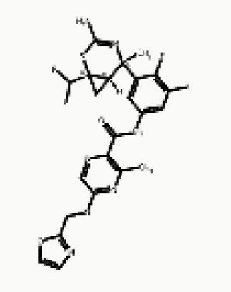 Cc1nc(OCc2ncco2)cnc1C(=O)Nc1cc(F)c(F)c([C@@]2(C)N=C(N)S[C@@]3(C(F)F)C[C@@H]23)c1